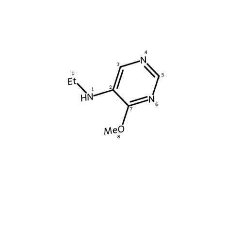 CCNc1cn[c]nc1OC